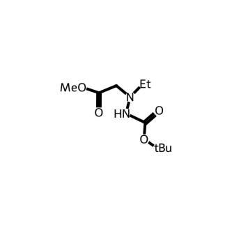 CCN(CC(=O)OC)NC(=O)OC(C)(C)C